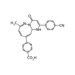 CC1=NN2C(=O)C=C(c3ccc(C#N)cc3)NC2C=C(c2ccc(C(=O)O)cc2)C=C1